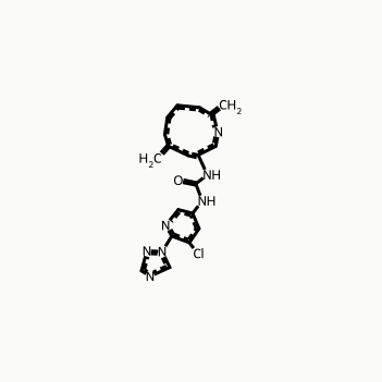 C=c1ccccc(=C)ncc(NC(=O)Nc2cnc(-n3cncn3)c(Cl)c2)c1